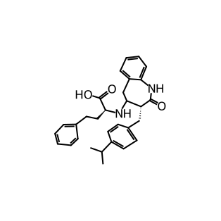 CC(C)c1ccc(C[C@H]2C(=O)Nc3ccccc3CC2N[C@@H](CCc2ccccc2)C(=O)O)cc1